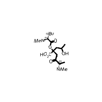 CC[C@H](C)[C@H](NC)C(=O)OC(CC(=O)[C@H](C)NC)(CC(C)O)C(=O)O